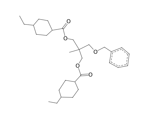 CCC1CCC(C(=O)OCC(C)(COCc2ccccc2)COC(=O)C2CCC(CC)CC2)CC1